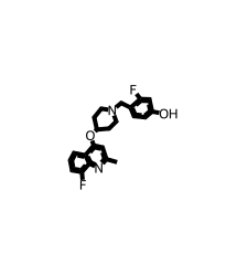 Cc1cc(OC2CCN(Cc3ccc(O)cc3F)CC2)c2cccc(F)c2n1